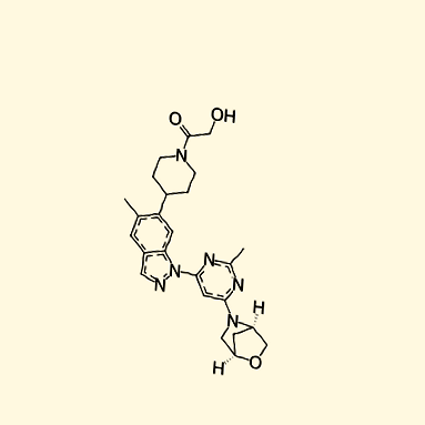 Cc1nc(N2C[C@H]3C[C@@H]2CO3)cc(-n2ncc3cc(C)c(C4CCN(C(=O)CO)CC4)cc32)n1